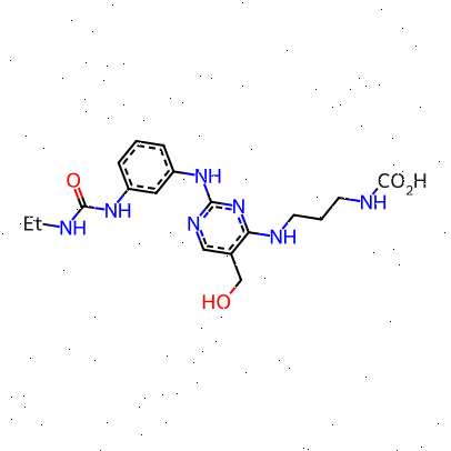 CCNC(=O)Nc1cccc(Nc2ncc(CO)c(NCCCNC(=O)O)n2)c1